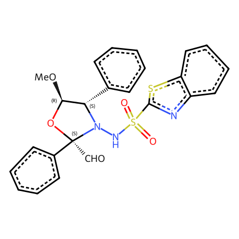 CO[C@@H]1O[C@](C=O)(c2ccccc2)N(NS(=O)(=O)c2nc3ccccc3s2)[C@H]1c1ccccc1